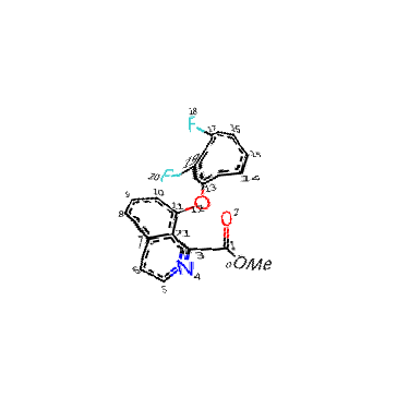 COC(=O)c1nccc2cccc(Oc3cccc(F)c3F)c12